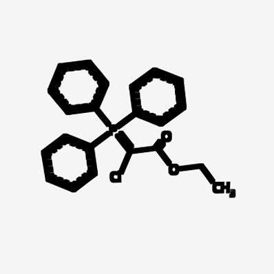 CCOC(=O)C(Cl)=P(c1ccccc1)(c1ccccc1)c1ccccc1